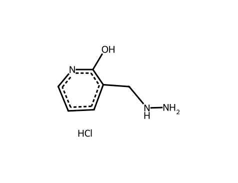 Cl.NNCc1cccnc1O